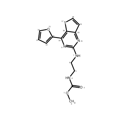 COC(=O)NCCNc1nc(-c2ccco2)c2sccc2n1